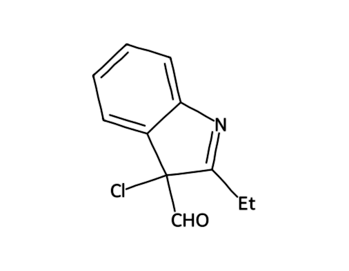 CCC1=Nc2ccccc2C1(Cl)C=O